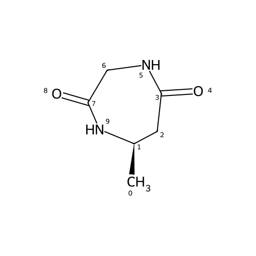 C[C@@H]1CC(=O)NCC(=O)N1